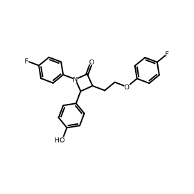 O=C1C(CCOc2ccc(F)cc2)C(c2ccc(O)cc2)N1c1ccc(F)cc1